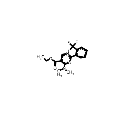 CCOC(=O)c1cnc(-c2ccccc2C(F)(F)F)nc1N(C)C